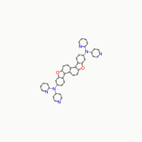 c1ccc(N(c2ccncc2)c2ccc3c(c2)oc2ccc4c(ccc5oc6cc(N(c7ccncc7)c7ccccn7)ccc6c54)c23)nc1